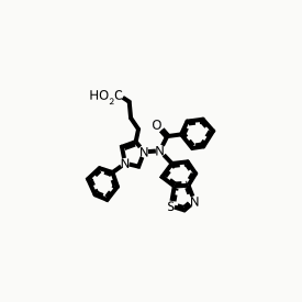 O=C(O)CCCC1=CN(c2ccccc2)CN1N(C(=O)c1ccccc1)c1ccc2ncsc2c1